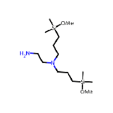 CO[Si](C)(C)CCCN(CCN)CCC[Si](C)(C)OC